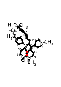 CN1CCC(C(C2CCN(C)CC2)C(C/C=C/C#CC(C)(C)C)N(C2CCN(C)CC2)C2CCN(C)CC2)CC1